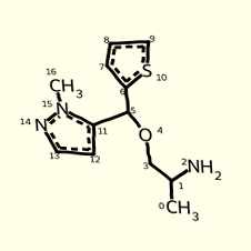 CC(N)COC(c1cccs1)c1ccnn1C